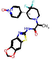 CC(C(=O)Nc1nc2cc3c(cc2s1)OCO3)N1CCC(F)(F)[C@@H](c2cc[n+]([O-])cc2)C1